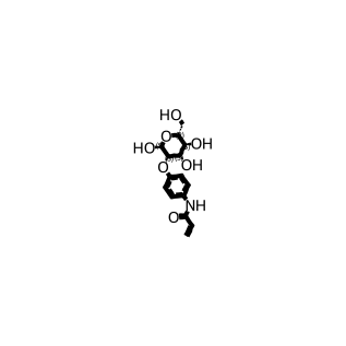 C=CC(=O)Nc1ccc(O[C@H]2[C@@H](O)[C@H](O)[C@@H](CO)O[C@@H]2O)cc1